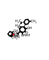 C=C(C)[C@@H]1CCC(C)C[C@H]1C1=C(O)C(=O)C(CCCCC)=C(C(=O)OC2(N)CC3CCC2(C)C3(C)C)C2OC12